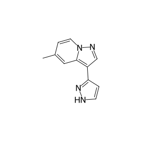 Cc1ccn2ncc(-c3cc[nH]n3)c2c1